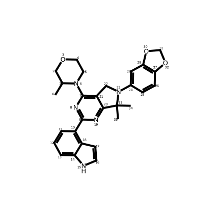 CC1COCCN1c1nc(-c2cccc3[nH]ccc23)nc2c1CN(c1ccc3c(c1)OCO3)C2(C)C